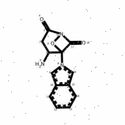 NC1CC(=O)N2OC1(n1cc3ccccc3c1)C2=O